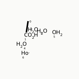 CC(=O)O.O.O.O.O.[Ho]